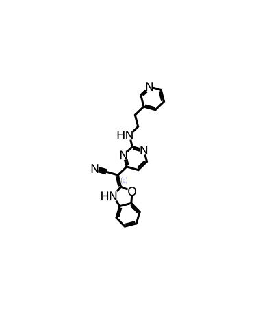 N#C/C(=C1\Nc2ccccc2O1)c1ccnc(NCCc2cccnc2)n1